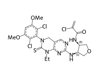 C=C(Cl)C(=O)N[C@H]1COC[C@H]1Nc1ncc2c(n1)N(CC)C(=S)N(c1c(Cl)c(OC)cc(OC)c1Cl)C2